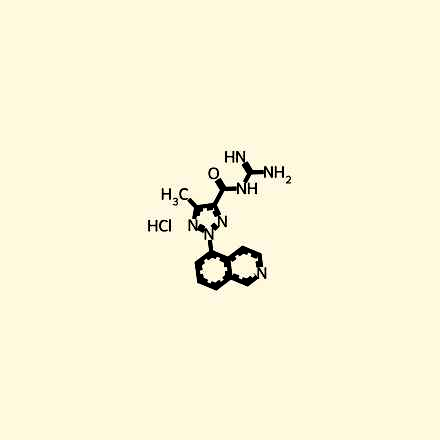 Cc1nn(-c2cccc3cnccc23)nc1C(=O)NC(=N)N.Cl